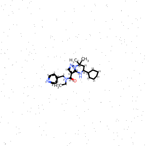 CCN(Cc1ccncc1)C(=O)c1cnn2c1NC(C1CCCCC1)CC2(C)C